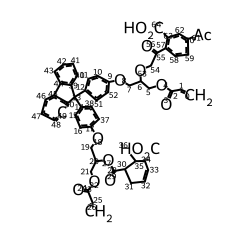 C=CC(=O)OCC(COc1ccc(C2(c3ccc(OCC(COC(=O)C=C)OC(=O)C4CC=CCC4C(=O)O)cc3)c3ccccc3-c3ccccc32)cc1)OCC(=O)c1ccc(C(C)=O)cc1C(=O)O